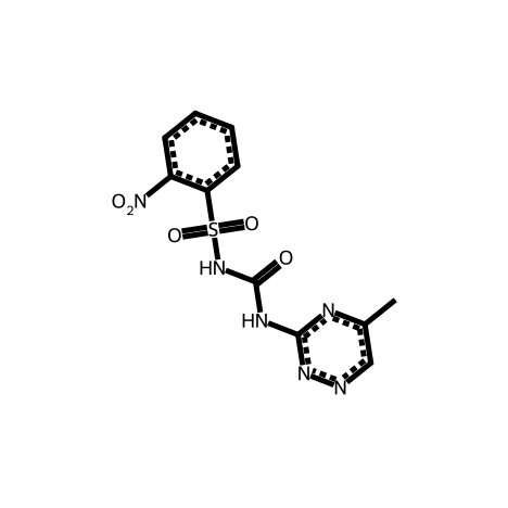 Cc1cnnc(NC(=O)NS(=O)(=O)c2ccccc2[N+](=O)[O-])n1